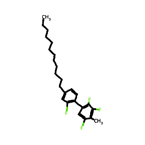 CCCCCCCCCCCCc1ccc(-c2cc(F)c(C)c(F)c2F)c(F)c1